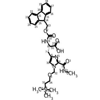 CNC(=O)c1nc(C[C@H](NC(=O)OCC2c3ccccc3-c3ccccc32)C(=O)O)cn1COCC[Si](C)(C)C